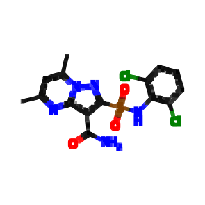 Cc1cc(C)n2nc(S(=O)(=O)Nc3c(Cl)cccc3Cl)c(C(N)=O)c2n1